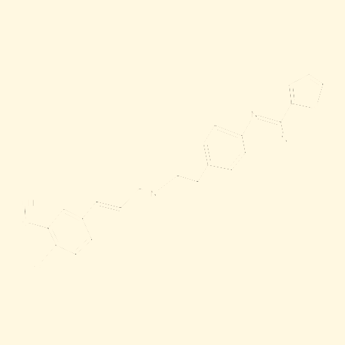 COc1cc(/C=C/CNCCc2ccc(/N=C(\N)c3cccs3)cc2)ccc1O